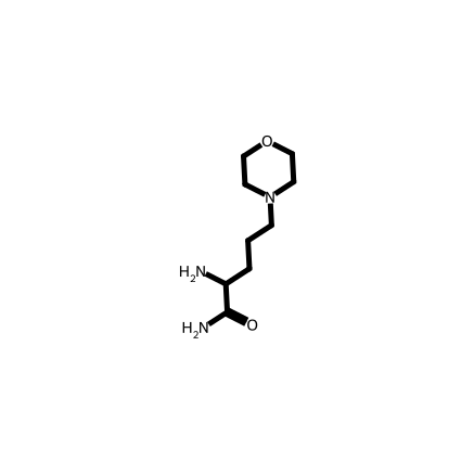 NC(=O)C(N)CCCN1CCOCC1